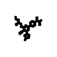 CCOC(=O)COc1nc(-c2ccc(NC(C)=O)cc2)cc(-c2ccc(C)o2)c1C#N